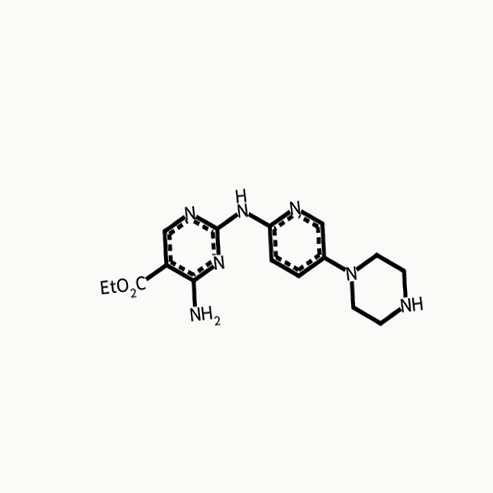 CCOC(=O)c1cnc(Nc2ccc(N3CCNCC3)cn2)nc1N